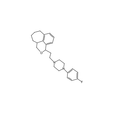 Fc1ccc(N2CCN(CCC3OCC4CCCCc5cccc3c54)CC2)cc1